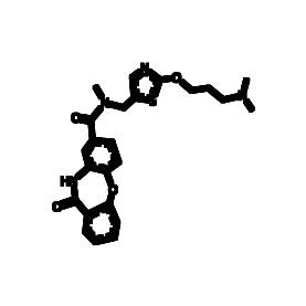 CN(C)CCCOc1ncc(CN(C)C(=O)c2ccc3c(c2)NC(=O)c2ccccc2O3)s1